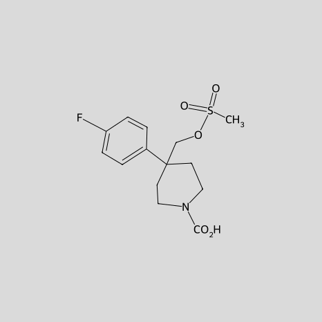 CS(=O)(=O)OCC1(c2ccc(F)cc2)CCN(C(=O)O)CC1